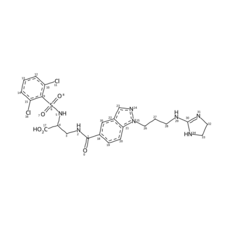 O=C(NCC(NS(=O)(=O)c1c(Cl)cccc1Cl)C(=O)O)c1ccc2c(cnn2CCCNC2=NCCN2)c1